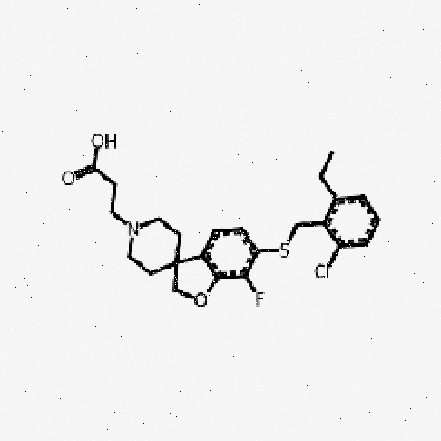 CCc1cccc(Cl)c1CSc1ccc2c(c1F)OCC21CCN(CCC(=O)O)CC1